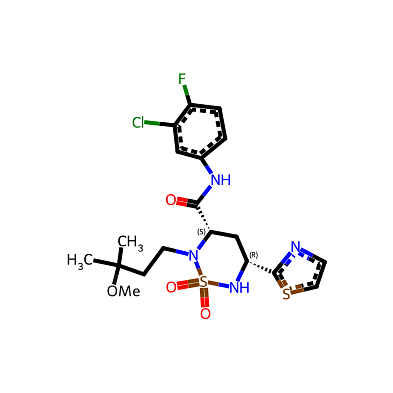 COC(C)(C)CCN1[C@H](C(=O)Nc2ccc(F)c(Cl)c2)C[C@H](c2nccs2)NS1(=O)=O